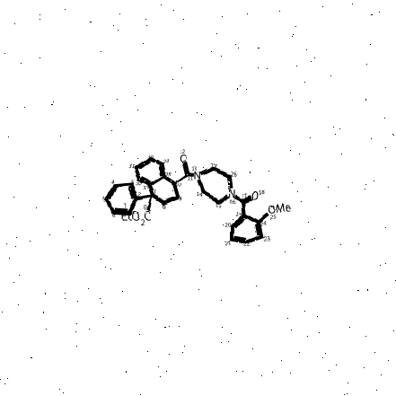 CCOC(=O)[C@]1(c2ccccc2)CC[C@H](C(=O)N2CCN(C(=O)c3ccccc3OC)CC2)c2ccccc21